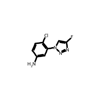 Nc1ccc(Cl)c(-n2cc(F)nn2)c1